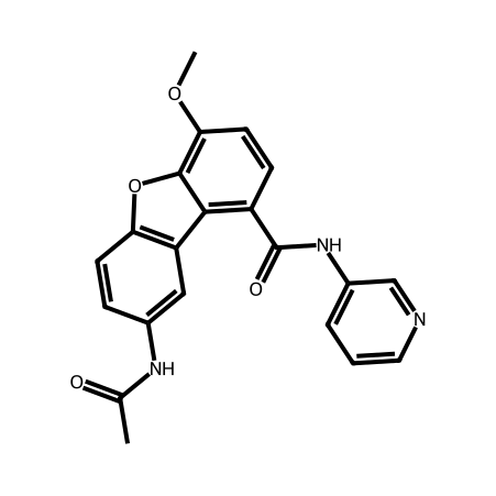 COc1ccc(C(=O)Nc2cccnc2)c2c1oc1ccc(NC(C)=O)cc12